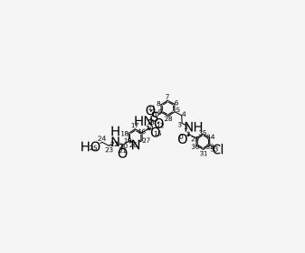 O=C(NCCc1cccc(S(=O)(=O)NC(=O)c2ccc(C(=O)NCCO)nc2)c1)c1ccc(Cl)cc1